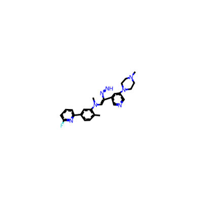 Cc1ccc(-c2cccc(F)n2)cc1N(C)/C=C(\N=N)c1cncc(N2CCN(C)CC2)c1